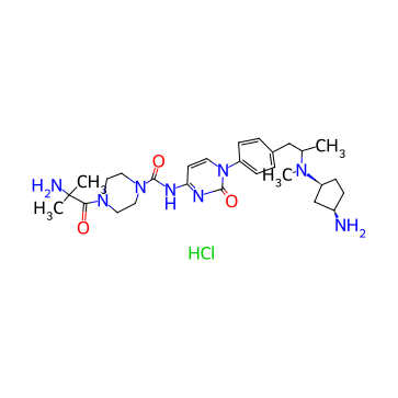 CC(Cc1ccc(-n2ccc(NC(=O)N3CCN(C(=O)C(C)(C)N)CC3)nc2=O)cc1)N(C)[C@H]1CC[C@@H](N)C1.Cl